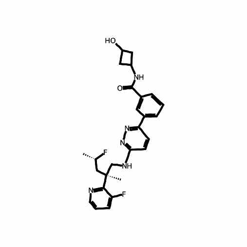 C[C@H](F)C[C@@](C)(CNc1ccc(-c2cccc(C(=O)NC3CC(O)C3)c2)nn1)c1ncccc1F